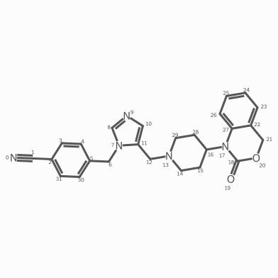 N#Cc1ccc(Cn2cncc2CN2CCC(N3C(=O)OCc4ccccc43)CC2)cc1